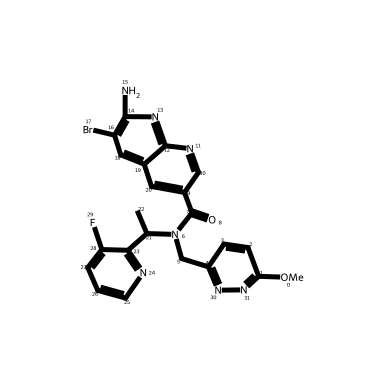 COc1ccc(CN(C(=O)c2cnc3nc(N)c(Br)cc3c2)C(C)c2ncccc2F)nn1